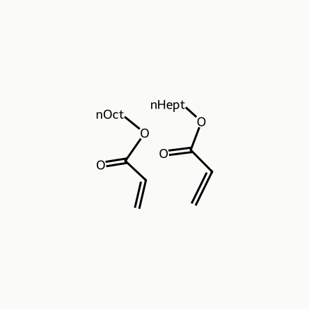 C=CC(=O)OCCCCCCC.C=CC(=O)OCCCCCCCC